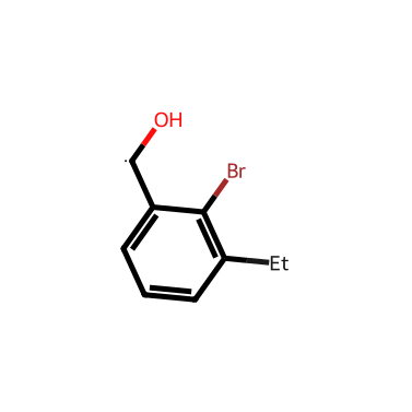 CCc1cccc([CH]O)c1Br